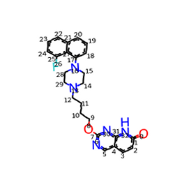 O=c1ccc2cnc(OCCCCN3CCN(c4cccc5cccc(F)c45)CC3)nc2[nH]1